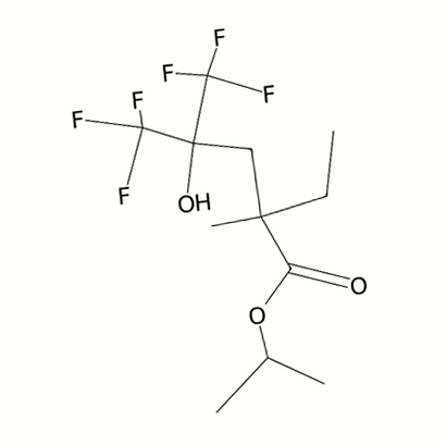 CCC(C)(CC(O)(C(F)(F)F)C(F)(F)F)C(=O)OC(C)C